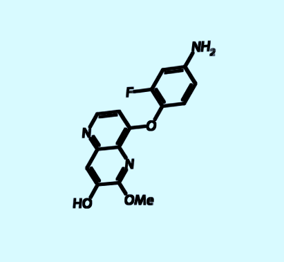 COc1nc2c(Oc3ccc(N)cc3F)ccnc2cc1O